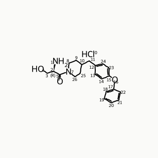 Cl.N[C@H](CO)C(=O)N1CCC(Cc2ccc(Oc3ccccc3)cc2)CC1